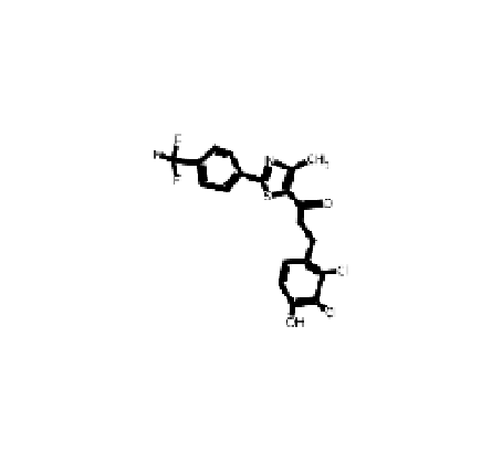 Cc1nc(-c2ccc(C(F)(F)F)cc2)sc1C(=O)CCc1ccc(O)c(Cl)c1Cl